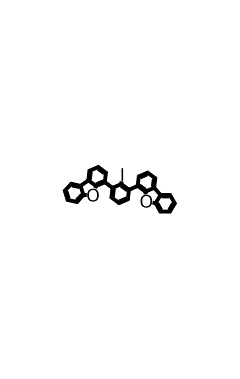 Ic1c(-c2cccc3c2oc2ccccc23)cccc1-c1cccc2c1oc1ccccc12